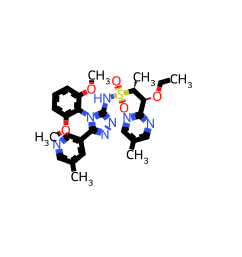 CCO[C@H](c1ncc(C)cn1)[C@@H](C)S(=O)(=O)Nc1nnc(-c2cncc(C)c2)n1-c1c(OC)cccc1OC